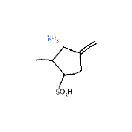 C=C1CC(C)C(S(=O)(=O)O)C1.N